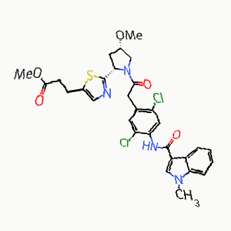 COC(=O)CCc1cnc([C@@H]2C[C@H](OC)CN2C(=O)Cc2cc(Cl)c(NC(=O)c3cn(C)c4ccccc34)cc2Cl)s1